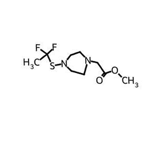 COC(=O)CN1CCN(SC(C)(F)F)CC1